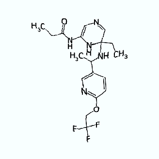 CCC(=O)NC1=CN=CC(CC)(NC(C)c2ccc(OCC(F)(F)F)nc2)N1